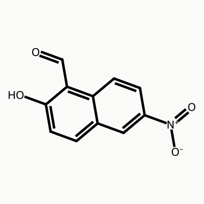 O=Cc1c(O)ccc2cc([N+](=O)[O-])ccc12